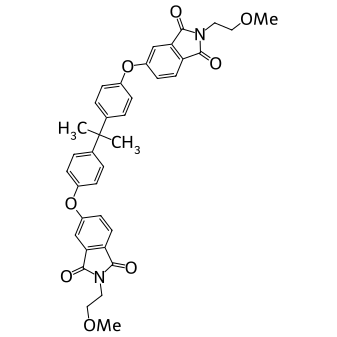 COCCN1C(=O)c2ccc(Oc3ccc(C(C)(C)c4ccc(Oc5ccc6c(c5)C(=O)N(CCOC)C6=O)cc4)cc3)cc2C1=O